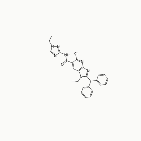 CCn1cnc(NC(=O)c2cc3c(nc2Cl)nc(C(c2ccccc2)c2ccccc2)n3CC)n1